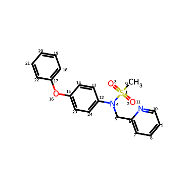 CS(=O)(=O)N(Cc1ccccn1)c1ccc(Oc2ccccc2)cc1